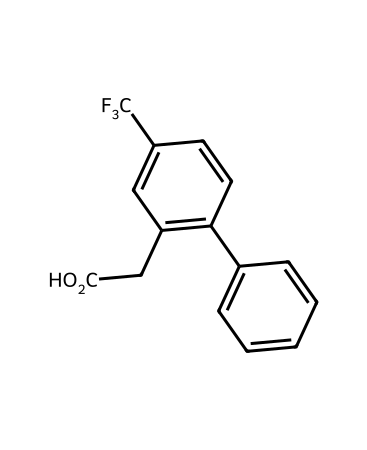 O=C(O)Cc1cc(C(F)(F)F)ccc1-c1ccccc1